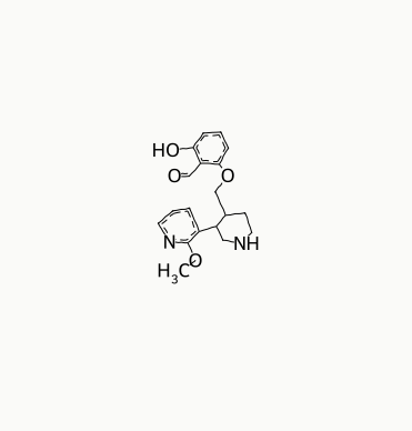 COc1ncccc1C1CNCCC1COc1cccc(O)c1C=O